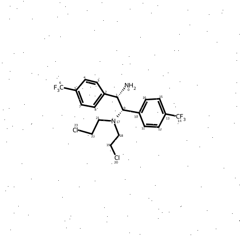 N[C@@H](c1ccc(C(F)(F)F)cc1)[C@H](c1ccc(C(F)(F)F)cc1)N(CCCl)CCCl